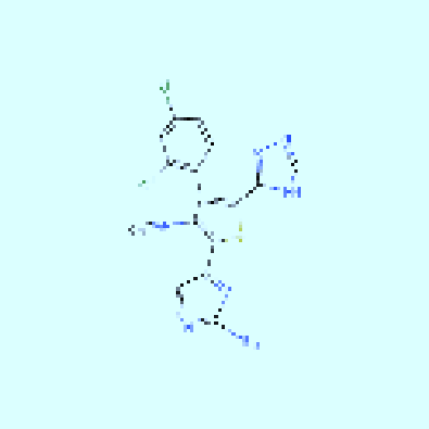 [C-]#[N+]c1c(-c2ccnc(N)n2)sc(-c2nnc[nH]2)c1-c1ccc(Cl)cc1Cl